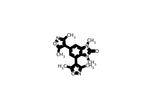 Cc1noc(C)c1-c1cc(-c2c(C)noc2C)c2c(c1)n(C)c(=O)n2C